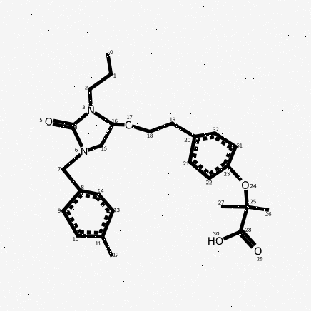 CCCN1C(=O)N(Cc2ccc(C)cc2)CC1CCCc1ccc(OC(C)(C)C(=O)O)cc1